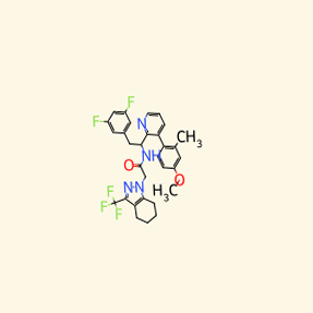 COc1ccc(-c2cccnc2C(Cc2cc(F)cc(F)c2)NC(=O)Cn2nc(C(F)(F)F)c3c2CCCC3)c(C)c1